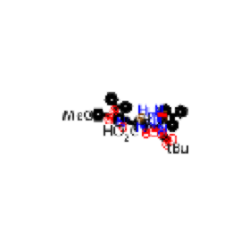 COc1ccc(COc2c[n+]([O-])c(C=CC3=C(C(=O)O)N4C(=O)[C@@H](NC(=O)/C(=N\OC(C)(C)C(=O)OC(C)(C)C)c5nc(N)sc5-c5ccccc5C(c5ccccc5)c5ccccc5)[C@H]4SC3)cc2OC(c2ccccc2)c2ccccc2)cc1